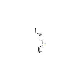 CCNC/C=N\C=N